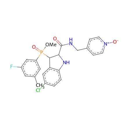 COP(=O)(c1cc(C)cc(F)c1)C1c2cc(Cl)ccc2NC1C(=O)NCc1cc[n+]([O-])cc1